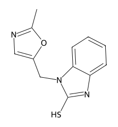 Cc1ncc(Cn2c(S)nc3ccccc32)o1